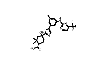 Cc1cc(Nc2nccc(C(F)(F)F)n2)cc(-c2cnc([C@]3(O)CC[C@@H](C(=O)O)C(C)(C)C3)s2)c1